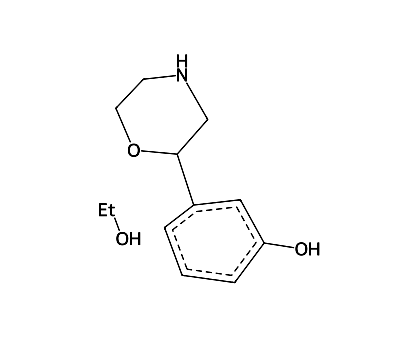 CCO.Oc1cccc(C2CNCCO2)c1